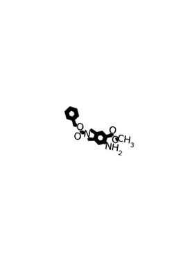 COC(=O)c1cc2c(cc1N)CN(C(=O)OCc1ccccc1)C2